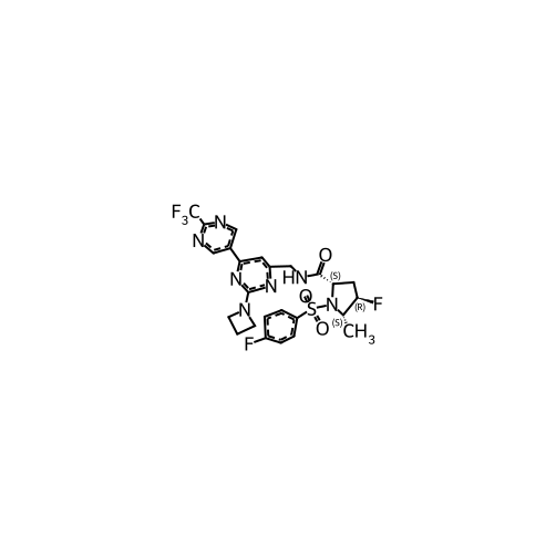 C[C@H]1[C@H](F)C[C@@H](C(=O)NCc2cc(-c3cnc(C(F)(F)F)nc3)nc(N3CCC3)n2)N1S(=O)(=O)c1ccc(F)cc1